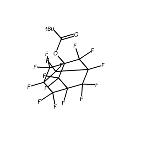 CC(C)(C)C(=O)OC12C(F)(F)C3(F)C(F)(F)C(F)(C(F)(F)C(F)(C3(F)F)C1(F)F)C2(F)F